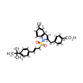 CCC(C)(C)c1ccc(C=CCS(=O)(=O)n2c(Cc3ccc(C(=O)O)cc3)cc3cc(C(F)(F)F)ccc32)cc1